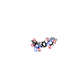 CCCCN1C(=O)CC(=O)N(C2CCC(C)(CN3CC4(CCOC4)C(=O)NC3=O)CC2)C1=O